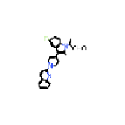 Cc1c(C2=CCN(c3ccc4ccccc4n3)CC2)c2cc(F)ccc2n1C(C)C=O